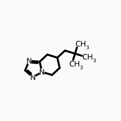 CC(C)(C)CC1CCn2ncnc2C1